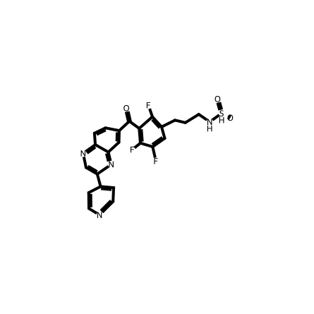 O=C(c1ccc2ncc(-c3ccncc3)nc2c1)c1c(F)c(F)cc(CCCN[SH](=O)=O)c1F